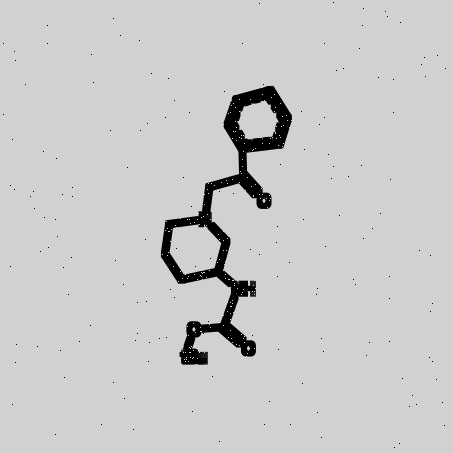 CC(C)(C)OC(=O)NC1CCCN(CC(=O)c2ccccc2)C1